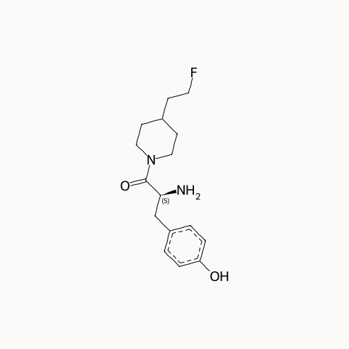 N[C@@H](Cc1ccc(O)cc1)C(=O)N1CCC(CCF)CC1